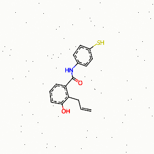 C=CCc1c(O)cccc1C(=O)Nc1ccc(S)cc1